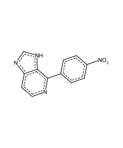 O=[N+]([O-])c1ccc(-c2nccc3nc[nH]c23)cc1